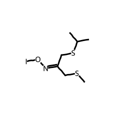 CSC/C(CSC(C)C)=N/OI